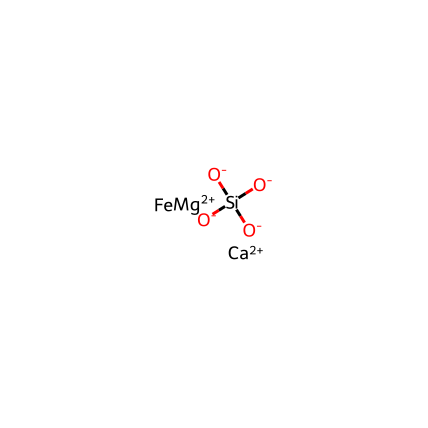 [Ca+2].[Fe].[Mg+2].[O-][Si]([O-])([O-])[O-]